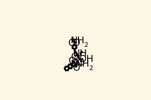 CCC[C@H](C(=O)NCc1ccc(S(N)(=O)=O)cc1)[C@H](C(=O)O)C(C)C(N)N1C(=O)c2cc3ccccc3cc2C1=O